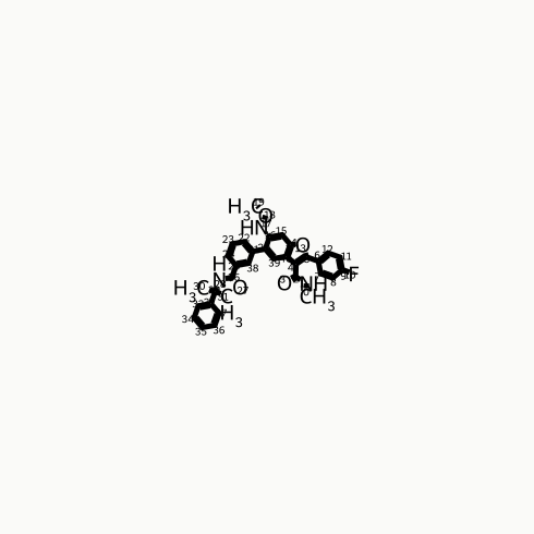 CNC(=O)c1c(-c2ccc(F)cc2)oc2cc(NOC)c(-c3cccc(C(=O)NC(C)(C)c4ccccc4)c3)cc12